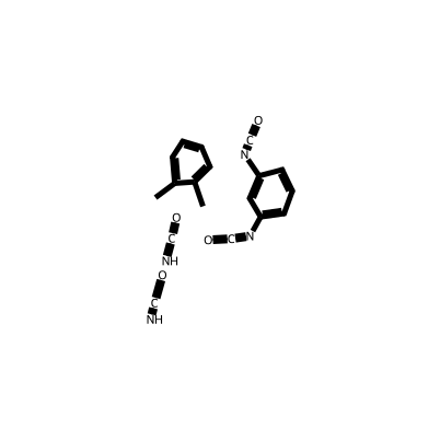 Cc1ccccc1C.N=C=O.N=C=O.O=C=Nc1cccc(N=C=O)c1